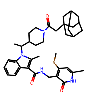 CSc1cc(C)[nH]c(=O)c1CNC(=O)c1c(C)n(C(C)C2CCN(C(=O)CC34CC5CC(CC(C5)C3)C4)CC2)c2ccccc12